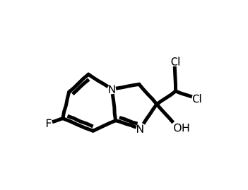 OC1(C(Cl)Cl)CN2C=CC(F)=CC2=N1